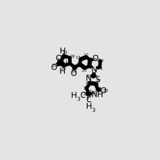 CC1(C)Cc2nc(N3CCOc4ccc(C(=O)C5C[C@@H]6C[C@H]5C(=O)O6)cc43)sc2C(=O)N1